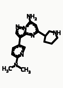 CN(C)c1ccc(-c2cnn3c(N)cc(C4CCCNC4)nc23)cn1